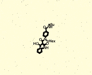 CCCCCCN(C(=O)c1c(O)c2ccccc2[nH]c1=O)c1ccc(C(=O)NCCCC)cc1